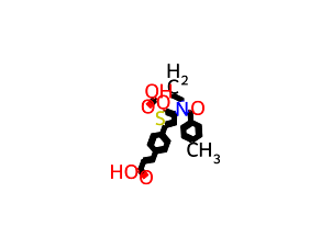 C=CCN(C(=O)c1ccc(C)cc1)c1cc(-c2ccc(C=CC(=O)O)cc2)sc1OC(=O)O